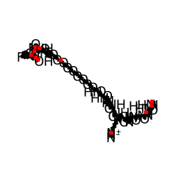 Cc1cc(F)cc(C)c1Oc1ccc(C(C)(C)O)cc1-c1cn(C)c(=O)c2[nH]c(C(=O)Nc3ccc(OCCOCCOCCOCCOCCOCCOCCOCCOCCNC(=O)CCNC(=O)c4nc(NC(=O)CCNC(=O)c5cc(NC(=O)c6nc(NC(=O)CCNC(=O)c7cc(NC(=O)c8nccn8C)cn7C)cn6C)cn5CCCCCCN=[N+]=[N-])cn4C)cc3)cc12